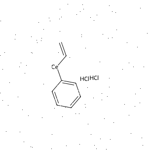 C=[CH][Ce][c]1ccccc1.Cl.Cl